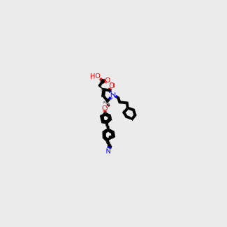 N#Cc1ccc(-c2ccc(OC[C@@H]3C[C@@H](CC(=O)O)C(=O)N3CCCC3CCCCC3)cc2)cc1